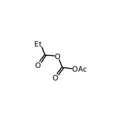 CCC(=O)OC(=O)OC(C)=O